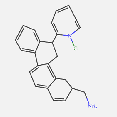 NCC1C=Cc2ccc3c(c2C1)CC(C1=CC=CC=CN1Cl)c1ccccc1-3